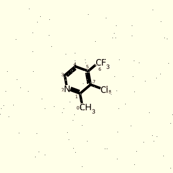 Cc1nccc(C(F)(F)F)c1Cl